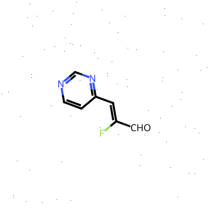 O=CC(F)=Cc1ccncn1